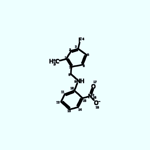 Cc1cc(F)ccc1CNc1ccccc1[N+](=O)[O-]